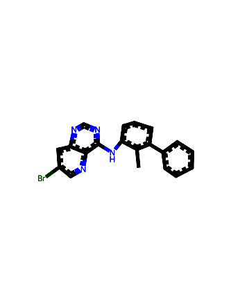 Cc1c(Nc2ncnc3cc(Br)cnc23)cccc1-c1ccccc1